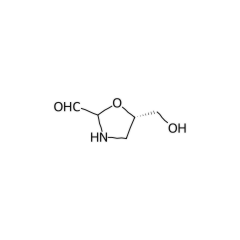 O=CC1NC[C@@H](CO)O1